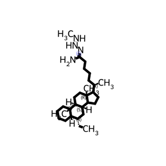 CC[C@H]1C[C@H]2C3CCC([C@H](C)CCCC/C(N)=N/NNC)[C@@]3(C)CC[C@@H]2[C@@]2(C)CCCC[C@@H]12